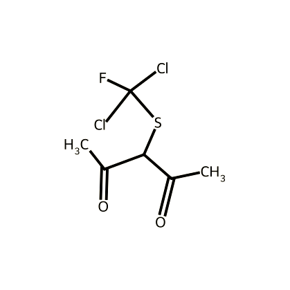 CC(=O)C(SC(F)(Cl)Cl)C(C)=O